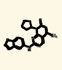 Cc1cc(=O)n(C2CCCC2)c2nc(Nc3ccc4occc4c3)ncc12